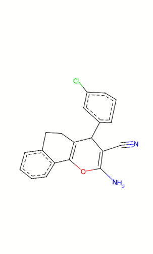 N#CC1=C(N)OC2=C(CCc3ccccc32)C1c1cccc(Cl)c1